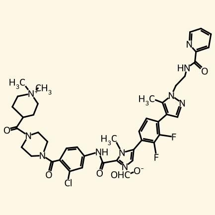 Cc1c(-c2ccc(-c3cnc(C(=O)Nc4ccc(C(=O)N5CCN(C(=O)C6CC[N+](C)(C)CC6)CC5)c(Cl)c4)n3C)c(F)c2F)cnn1CCNC(=O)c1ccccn1.O=C[O-]